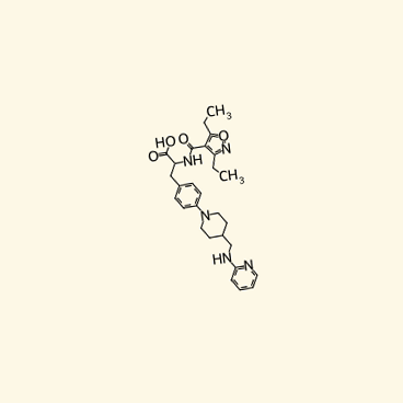 CCc1noc(CC)c1C(=O)NC(Cc1ccc(N2CCC(CNc3ccccn3)CC2)cc1)C(=O)O